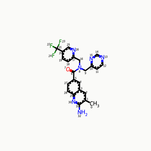 Cc1cc2cc(C(=O)N(Cc3ccncn3)Cc3ccc(C(F)(F)F)cn3)ccc2nc1N